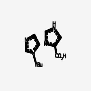 CCCCn1ccnc1.O=C(O)c1c[nH]cn1